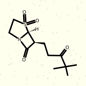 CC(C)(C)C(=O)CC[C@H]1C(=O)N2CCS(=O)(=O)[C@@H]12